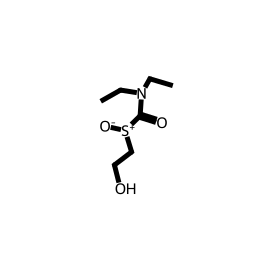 CCN(CC)C(=O)[S+]([O-])CCO